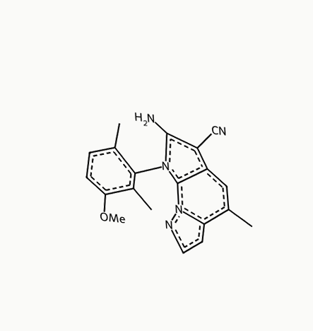 COc1ccc(C)c(-n2c(N)c(C#N)c3cc(C)c4ccnn4c32)c1C